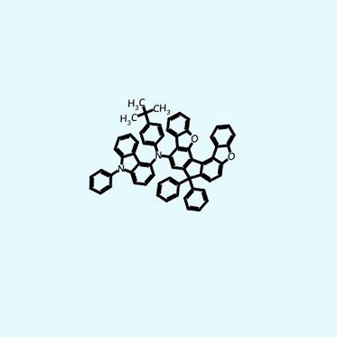 CC(C)(C)c1ccc(N(c2cc3c(c4oc5ccccc5c24)-c2c(ccc4oc5ccccc5c24)C3(c2ccccc2)c2ccccc2)c2cccc3c2c2ccccc2n3-c2ccccc2)cc1